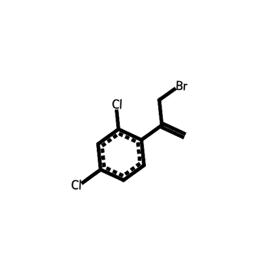 C=C(CBr)c1ccc(Cl)cc1Cl